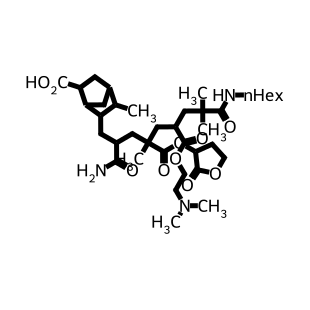 CCCCCCNC(=O)C(C)(C)CC(CC(C)(CC(CC1C(C)C2CC(C(=O)O)C1C2)C(N)=O)C(=O)OC1CCOC1=O)C(=O)OCCN(C)C